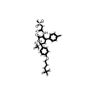 Cc1ccc(C2=C(NC(=O)CS(C)(=O)=O)C(=O)N[C@@](c3ccc(OCCCC(F)(F)F)cc3)(C(F)(F)F)C2)cc1